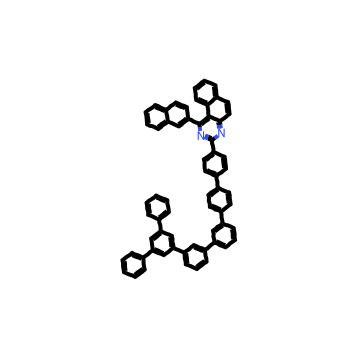 c1ccc(-c2cc(-c3ccccc3)cc(-c3cccc(-c4cccc(-c5ccc(-c6ccc(-c7nc(-c8ccc9ccccc9c8)c8c(ccc9ccccc98)n7)cc6)cc5)c4)c3)c2)cc1